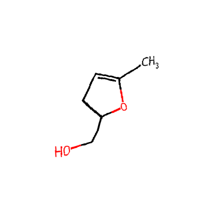 CC1=CCC(CO)O1